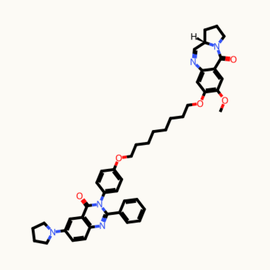 COc1cc2c(cc1OCCCCCCCCOc1ccc(-n3c(-c4ccccc4)nc4ccc(N5CCCC5)cc4c3=O)cc1)N=C[C@@H]1CCCN1C2=O